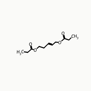 CCC(=O)OCC=CCCOC(=O)CC